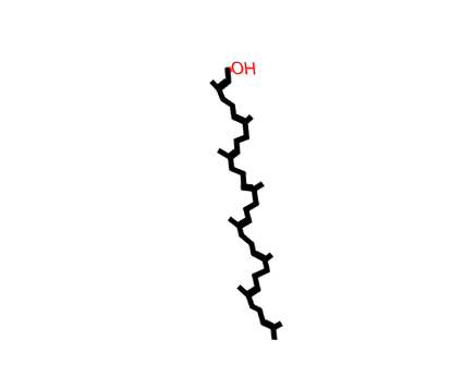 CC(C)=CCCC(C)=CCCC(C)=CCCC(C)=CCCC(C)=CCCC(C)=CCCC(C)=CCCC(C)=CCO